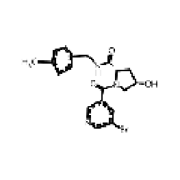 Cc1ccc(CNC(=O)[C@@H]2C[C@@H](O)CN2C(=O)c2cncc(Br)c2)cc1